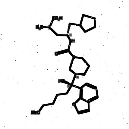 COCCCC[C@@](O)(c1cccc2ccoc12)[C@@H]1CCCN(C(=O)N[C@@H](CC2CCCC2)CN(C)C(=O)O)C1